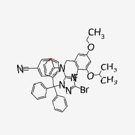 CCOc1cc(CN(c2ccc(C#N)cc2)c2nc(Br)nn2C(c2ccccc2)(c2ccccc2)c2ccccc2)c(F)c(OC(C)C)c1